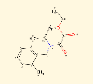 Cc1ccccc1CN(C(=O)C(=O)OCC(F)(F)F)C(C)C(C)C